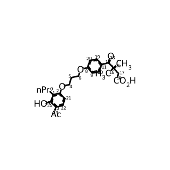 CCCc1c(OCCCOc2ccc(C(=O)C(C)(C)CC(=O)O)cc2)ccc(C(C)=O)c1O